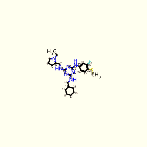 CCN1CCCC1CNc1nc(NCC2CCCCC2)nc(Nc2ccc(SC)c(F)c2)n1